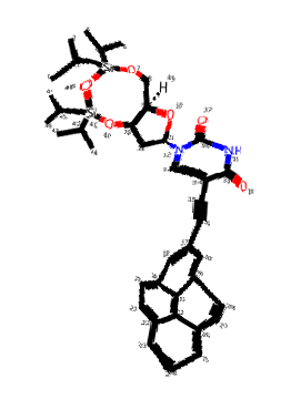 CC(C)[Si]1(C(C)C)OC[C@H]2O[C@@H](n3cc(C#Cc4cc5ccc6cccc7ccc(c4)c5c67)c(=O)[nH]c3=O)CC2O[Si](C(C)C)(C(C)C)O1